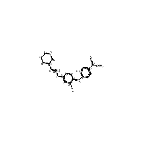 NC(=O)c1ccc(Oc2ccc(CNCC3CCCCC3)cc2F)nc1